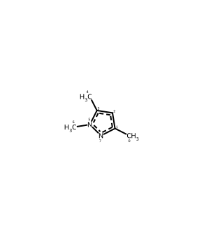 Cc1cc(C)n(C)n1